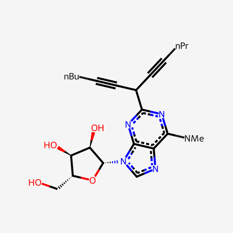 CCCC#CC(C#CCCCC)c1nc(NC)c2ncn([C@@H]3O[C@H](CO)[C@@H](O)[C@H]3O)c2n1